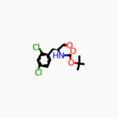 CC(C)(C)OC(=O)N[C@H](C=O)Cc1ccc(Cl)cc1Cl